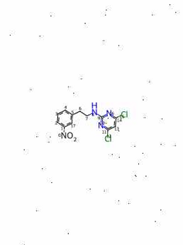 O=[N+]([O-])c1cccc(CCNc2nc(Cl)cc(Cl)n2)c1